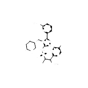 COc1cccc(-c2nnc(NS(=O)(=O)C(C)C(OC)c3ncc(Cl)cn3)n2C[C@@H]2CCCOC2)n1